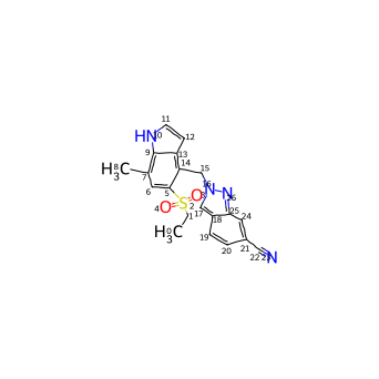 CCS(=O)(=O)c1cc(C)c2[nH]ccc2c1Cn1cc2ccc(C#N)cc2n1